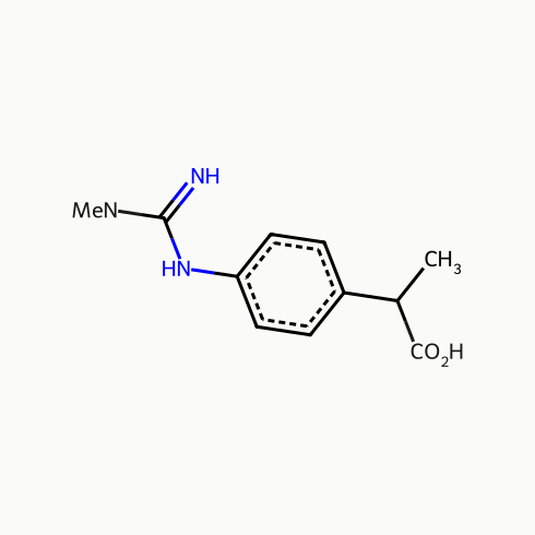 CNC(=N)Nc1ccc(C(C)C(=O)O)cc1